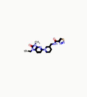 Cn1c(=O)n(CC(C)(C)C)c2ccc(N3CCCC(CNC(=O)c4csnn4)C3)nc21